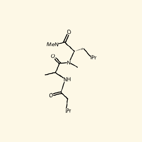 CNC(=O)[C@H](CC(C)C)N(C)C(=O)C(C)NC(=O)CC(C)C